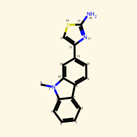 Cn1c2ccccc2c2ccc(-c3csc(N)n3)cc21